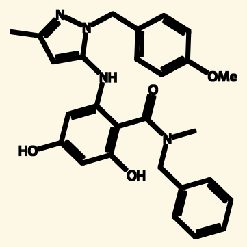 COc1ccc(Cn2nc(C)cc2Nc2cc(O)cc(O)c2C(=O)N(C)Cc2ccccc2)cc1